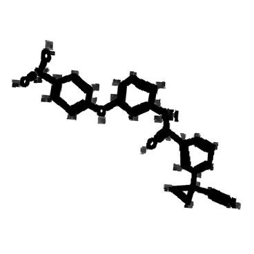 N#CC1(c2cccc(C(=O)Nc3cccc(Oc4ccc([N+](=O)[O-])cc4)c3)c2)CC1